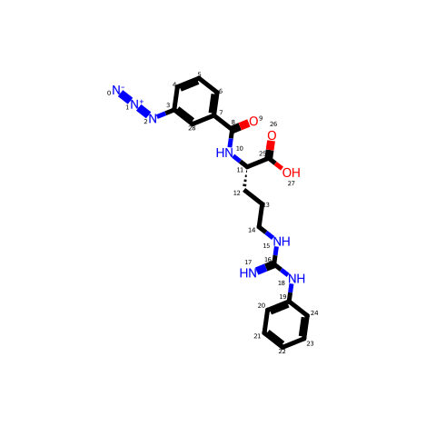 [N-]=[N+]=Nc1cccc(C(=O)N[C@@H](CCCNC(=N)Nc2ccccc2)C(=O)O)c1